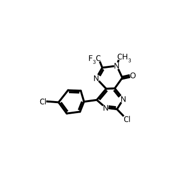 Cn1c(C(F)(F)F)nc2c(-c3ccc(Cl)cc3)nc(Cl)nc2c1=O